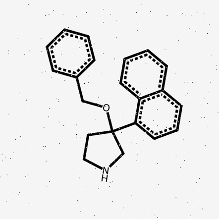 c1ccc(COC2(c3cccc4ccccc34)CCNC2)cc1